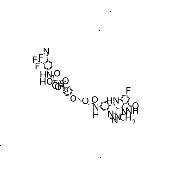 Cn1ncnc1[C@H]1c2n[nH]c(=O)c3cc(F)cc(c23)N[C@@H]1c1ccc(NC(=O)COCCOc2ccc(S(=O)(=O)C[C@](C)(O)C(=O)Nc3ccc(C#N)c(C(F)(F)F)c3)cc2)cc1